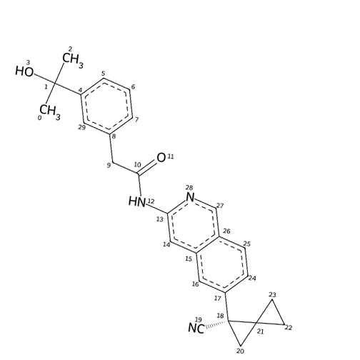 CC(C)(O)c1cccc(CC(=O)Nc2cc3cc([C@]4(C#N)CC45CC5)ccc3cn2)c1